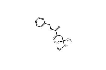 CNC(C)(C)CC(=O)C(=O)OCc1ccccc1